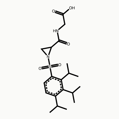 CC(C)c1ccc(S(=O)(=O)N2CC2C(=O)NCC(=O)O)c(C(C)C)c1C(C)C